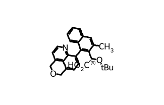 Cc1cc2ccccc2c(-c2ccc3c4c(ccnc24)COC3)c1[C@H](OC(C)(C)C)C(=O)O